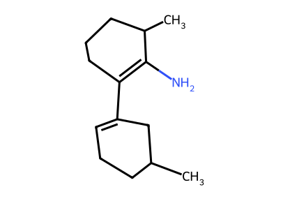 CC1CCC=C(C2=C(N)C(C)CCC2)C1